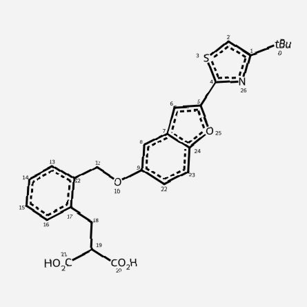 CC(C)(C)c1csc(-c2cc3cc(OCc4ccccc4CC(C(=O)O)C(=O)O)ccc3o2)n1